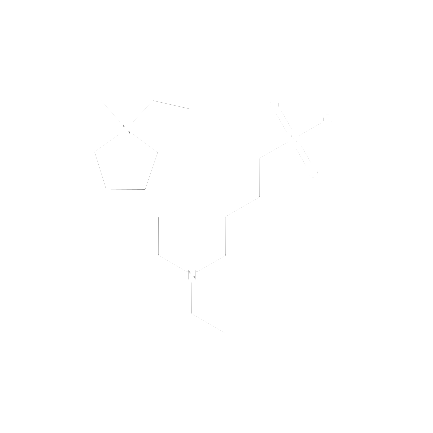 CCN(CC)CCCCS(=O)(=O)[O-].CC[N+]1(C)CCCC1